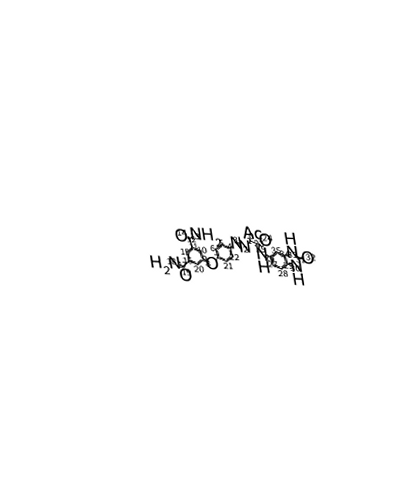 CC(=O)C(N=Nc1ccc(Oc2cc(C(N)=O)cc(C(N)=O)c2)cc1)C(=O)Nc1ccc2[nH]c(=O)[nH]c2c1